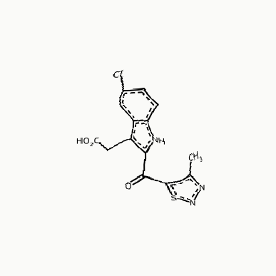 Cc1nnsc1C(=O)c1[nH]c2ccc(Cl)cc2c1CC(=O)O